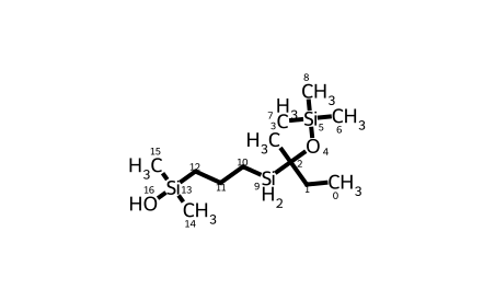 CCC(C)(O[Si](C)(C)C)[SiH2]CCC[Si](C)(C)O